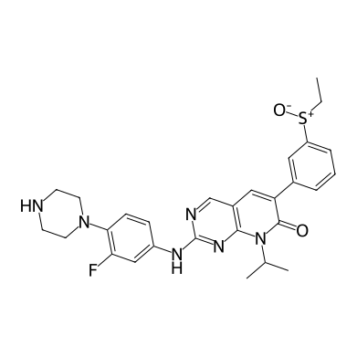 CC[S+]([O-])c1cccc(-c2cc3cnc(Nc4ccc(N5CCNCC5)c(F)c4)nc3n(C(C)C)c2=O)c1